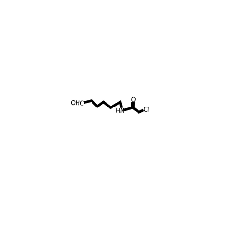 O=CCCCCCNC(=O)CCl